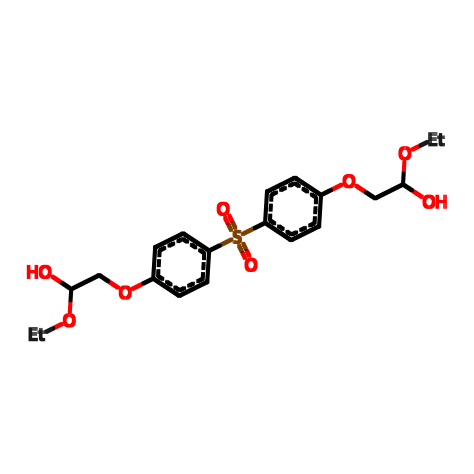 CCOC(O)COc1ccc(S(=O)(=O)c2ccc(OCC(O)OCC)cc2)cc1